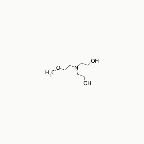 COCCN(CCO)CCO